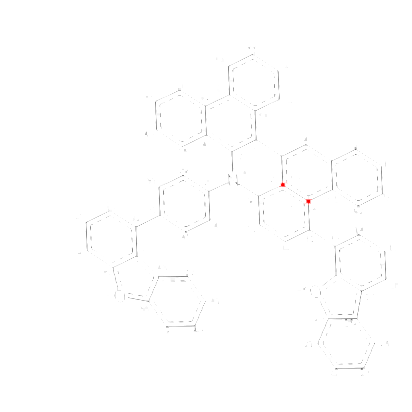 c1ccc2cc(-c3c(N(c4ccc(-c5cccc6c5oc5ccccc56)cc4)c4ccc(-c5cccc6oc7ccccc7c56)cc4)c4ccccc4c4ccccc34)ccc2c1